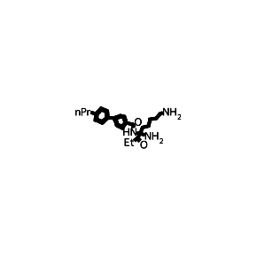 CCCc1ccc(-c2ccc(C(=O)NC(N)(CCCCCN)C(=O)CC)cc2)cc1